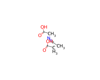 CC#N.CC(=O)O.CC(=O)O